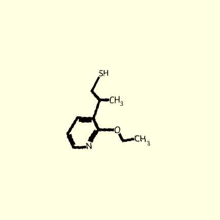 CCOc1ncccc1C(C)CS